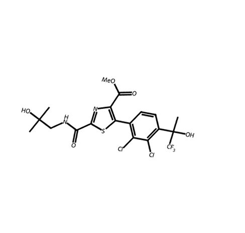 COC(=O)c1nc(C(=O)NCC(C)(C)O)sc1-c1ccc(C(C)(O)C(F)(F)F)c(Cl)c1Cl